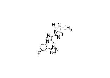 CC(C)c1nc(-c2ncn3c2Cn2ncnc2-c2cc(F)ccc2-3)no1